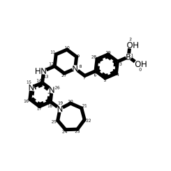 OB(O)c1ccc(CN2CCCC(Nc3nccc(N4CCCCCC4)n3)C2)cc1